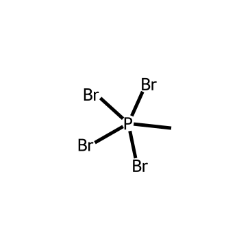 CP(Br)(Br)(Br)Br